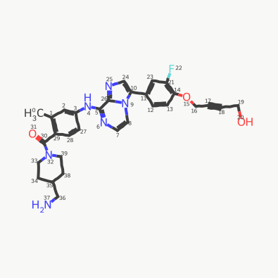 Cc1cc(Nc2nccn3c(-c4ccc(OCC#CCO)c(F)c4)cnc23)ccc1C(=O)N1CCC(CN)CC1